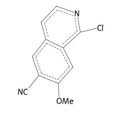 COc1cc2c(Cl)nccc2cc1C#N